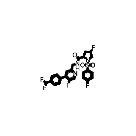 O=C(NCc1cc(-c2ccc(C(F)F)cc2)c(F)cn1)C1CC(F)CN1S(=O)(=O)c1ccc(F)cc1